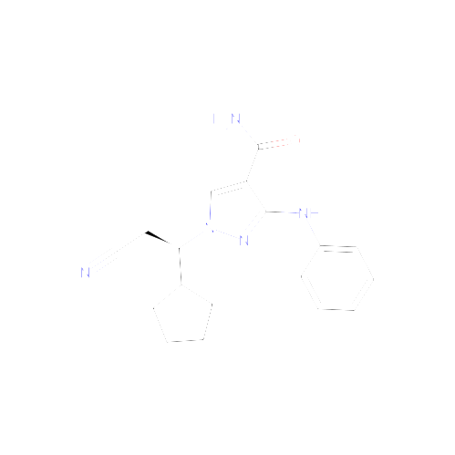 N#CC[C@H](C1CCCC1)n1cc(C(N)=O)c(Nc2ccccc2)n1